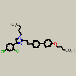 O=C(O)CCCOc1ccc(-c2ccc(/C=C/c3nc(-c4ccc(Cl)cc4Cl)cn3CCCC(=O)O)cc2)cc1